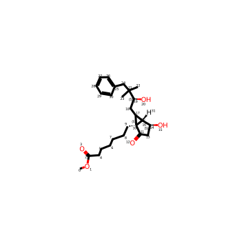 COC(=O)CCCCCC[C@@]12C(=O)C[C@H](O)[C@H]1C2C[C@H](O)C(C)(C)Cc1ccccc1